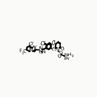 CC(C)C(N)C(=O)OCN1C[C@H](Oc2cc(Cl)c(-c3noc(-c4cn5cc(C(F)(F)F)cc(Cl)c5n4)n3)cc2Cl)CCC1=O